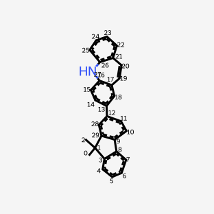 CC1(C)c2ccccc2-c2ccc(-c3ccc4c(c3)C=Cc3ccccc3N4)cc21